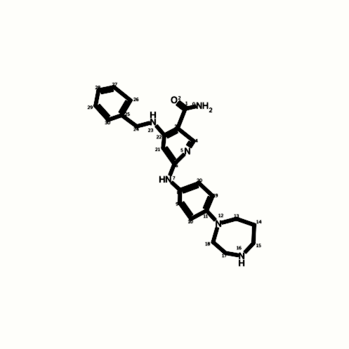 NC(=O)c1cnc(Nc2ccc(N3CCCNCC3)cc2)cc1NCc1ccccc1